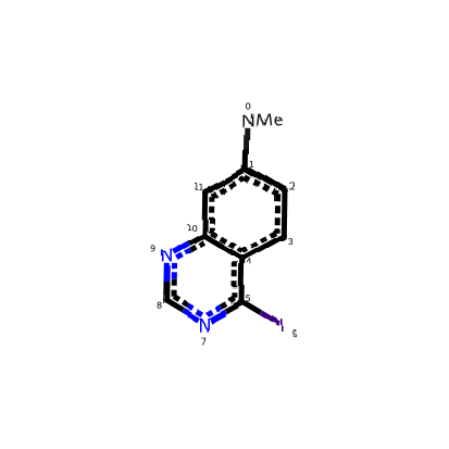 CNc1ccc2c(I)ncnc2c1